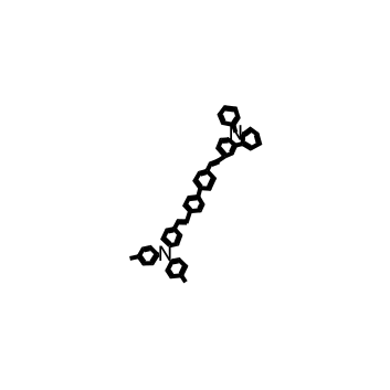 Cc1ccc(N(c2ccc(C)cc2)c2ccc(C=Cc3ccc(-c4ccc(/C=C/c5ccc6c(c5)c5ccccc5n6-c5ccccc5)cc4)cc3)cc2)cc1